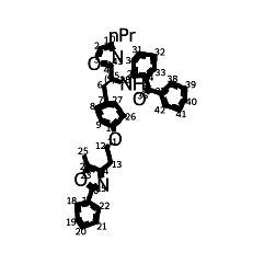 CCCc1coc([C@H](Cc2ccc(OCCc3nc(-c4ccccc4)oc3C)cc2)Nc2ccccc2C(=O)c2ccccc2)n1